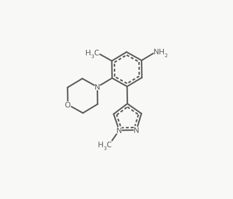 Cc1cc(N)cc(-c2cnn(C)c2)c1N1CCOCC1